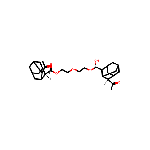 CC(=O)[C@@H]1C2CC3CC(C2)C([C@@H](O)OCCOCCOC(=O)[C@@H]2C4CC5CC(C4)[C@H](C(C)=O)C2C5)C1C3